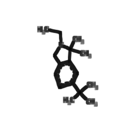 CCN1Cc2ccc(C(C)(C)C)cc2C1(C)C